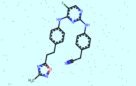 Cc1noc(CCc2ccc(Nc3nc(Nc4ccc(CC#N)cc4)ncc3F)cc2)n1